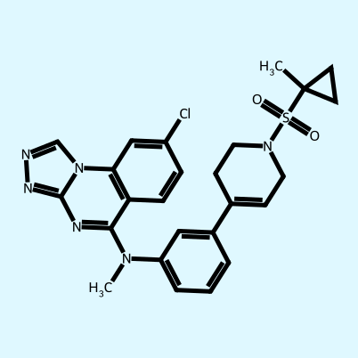 CN(c1cccc(C2=CCN(S(=O)(=O)C3(C)CC3)CC2)c1)c1nc2nncn2c2cc(Cl)ccc12